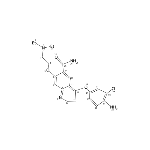 CCN(CC)CCOc1cc2nccc(Oc3ccc(N)c(Cl)c3)c2cc1C(N)=O